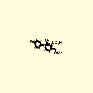 COCc1ccn(-c2ccc(F)cn2)c(=O)c1C(=O)O